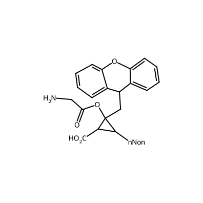 CCCCCCCCCC1C(C(=O)O)C1(CC1c2ccccc2Oc2ccccc21)OC(=O)CN